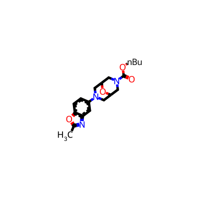 CCCCOC(=O)N1CC2CN(c3ccc4oc(C)nc4c3)CC(C1)O2